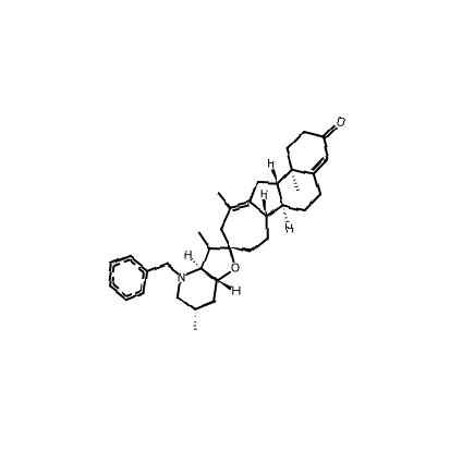 CC1=C2C[C@H]3[C@@H](CCC4=CC(=O)CC[C@@]43C)[C@@H]2CC[C@@]2(C1)O[C@@H]1C[C@H](C)CN(Cc3ccccc3)[C@H]1C2C